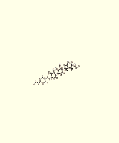 CCCC1CCC(CCc2ccc(-c3ccc(-c4cc5ccc(OCC)c(F)c5s4)c(F)c3F)c(F)c2F)CC1